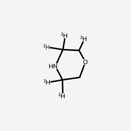 [2H]C1OCC([2H])([2H])NC1([2H])[2H]